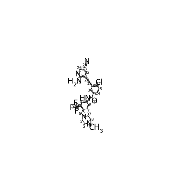 CN1CCN(Cc2ccc(NC(=O)c3ccc(Cl)c(C#Cc4cc(C#N)cnc4N)c3)cc2C(F)(F)F)CC1